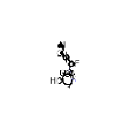 C/C(=C\c1cc(F)cc(N2CCN(C(=O)Cn3cccn3)CC2)c1)[C@H]1OC(=O)C[C@H](O)CC[C@H](C)C/C=C/[C@@H]1C